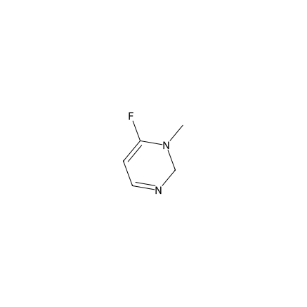 CN1CN=CC=C1F